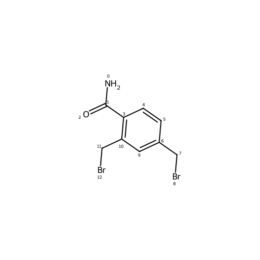 NC(=O)c1ccc(CBr)cc1CBr